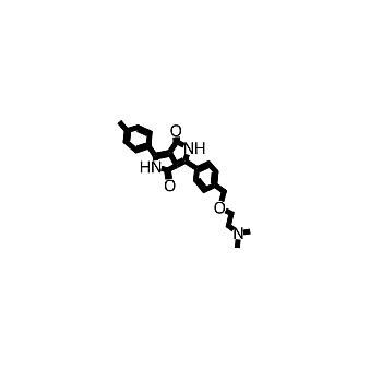 Cc1ccc(C2=C3C(=O)NC(c4ccc(COCCN(C)C)cc4)=C3C(=O)N2)cc1